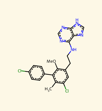 COc1c(CCNc2ncnc3[nH]cnc23)cc(Cl)c(C)c1-c1ccc(Cl)cc1